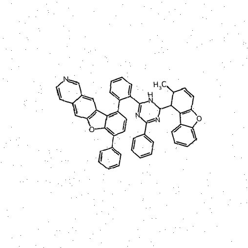 CC1C=Cc2oc3ccccc3c2C1C1N=C(c2ccccc2)N=C(c2ccccc2-c2ccc(-c3ccccc3)c3oc4cc5ccncc5cc4c23)N1